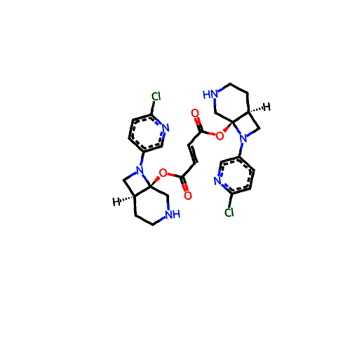 O=C(/C=C/C(=O)O[C@@]12CNCC[C@H]1CN2c1ccc(Cl)nc1)O[C@@]12CNCC[C@H]1CN2c1ccc(Cl)nc1